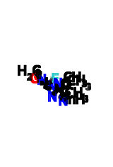 C=CC(=O)N1CC2(CCN(c3nc4c(c(C5=[C](C)[InH][N]=C5)c3C#N)CCC(C)(C)C4)[C@H]2CF)C1